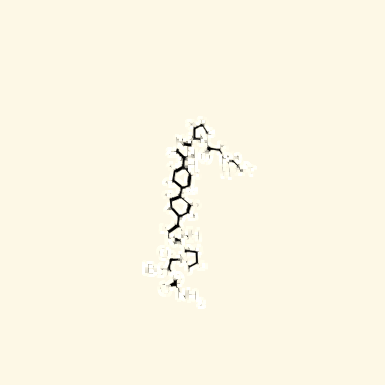 CCC(C)[C@H](OC(N)=O)C(=O)N1CCC[C@H]1c1ncc(-c2ccc(-c3ccc(-c4cnc([C@@H]5CCCN5C(=O)CNCC(C)C)[nH]4)cc3)cc2)[nH]1